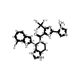 Cn1cncc1-c1nc(C(F)(F)F)c(C(=O)N2CCc3[nH]cnc3[C@H]2c2cc3cccc(F)c3o2)o1